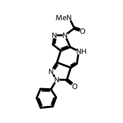 CNC(=O)n1ncc2c3nn(-c4ccccc4)c(=O)c-3c[nH]c21